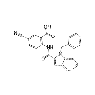 N#Cc1ccc(NC(=O)c2cc3ccccc3n2Cc2ccccc2)c(C(=O)O)c1